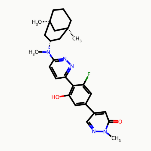 CN(c1ccc(-c2c(O)cc(-c3cnn(C)c(=O)c3)cc2F)nn1)[C@H]1C[C@]2(C)CCC[C@](C)(C1)C2